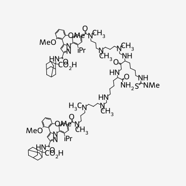 CNC(=S)NCCCCC(NCN(C)CCCN(C)CCCN(C)C(=O)c1ccc(-n2nc(C(=O)NC3(C(=O)O)C4CC5CC(C4)CC3C5)cc2-c2c(OC)cccc2OC)c(C(C)C)c1)C(=O)CNC(CCCCNCN(C)CCCN(C)CCCN(C)C(=O)c1ccc(-n2nc(C(=O)NC3(C(=O)O)C4CC5CC(C4)CC3C5)cc2-c2c(OC)cccc2OC)c(C(C)C)c1)C(N)=O